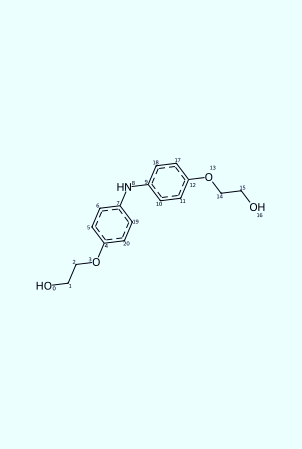 OCCOc1ccc(Nc2ccc(OCCO)cc2)cc1